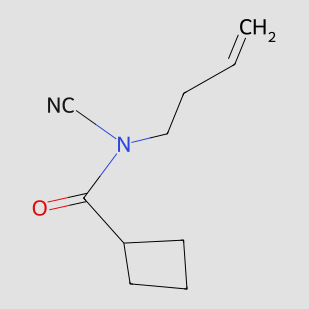 C=CCCN(C#N)C(=O)C1CCC1